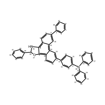 c1ccc(-c2ccc3c4c(c5ccc(-c6ccc(N(c7ccccc7)c7ccccc7)cc6)cc5c3c2)OC(c2ccccc2)N4)cc1